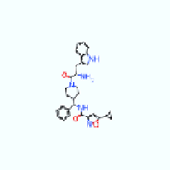 N[C@H](Cc1c[nH]c2ccccc12)C(=O)N1CCC(C(NC(=O)c2cc(C3CC3)on2)c2ccccc2)CC1